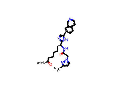 CNC(=O)CCCCC[C@H](NC(=O)Cn1ccc(C)n1)c1ncc(-c2ccc3ccncc3c2)[nH]1